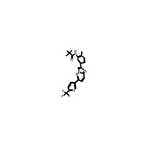 Cc1ccc(-c2cn3nc(-c4ccc(C(F)(F)F)nc4)ccc3n2)cc1NC(=O)C(C)(C)C